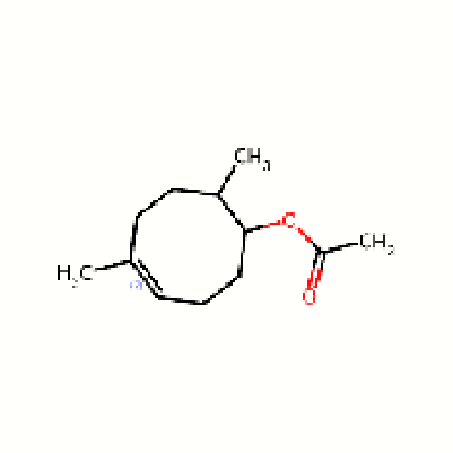 CC(=O)OC1CC/C=C(/C)CCC1C